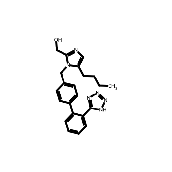 CCCCc1cnc(CO)n1Cc1ccc(-c2ccccc2-c2nnn[nH]2)cc1